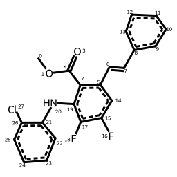 COC(=O)c1c(C=Cc2ccccc2)cc(F)c(F)c1Nc1ccccc1Cl